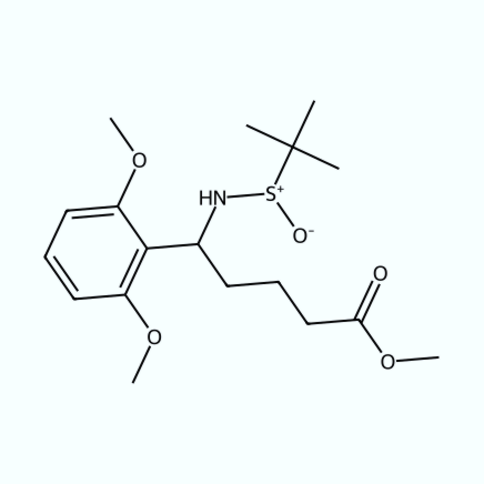 COC(=O)CCCC(N[S+]([O-])C(C)(C)C)c1c(OC)cccc1OC